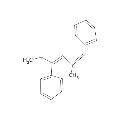 CCC(=CC(C)=Cc1ccccc1)c1ccccc1